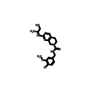 COc1cc(CNC(=O)N2CCc3cnc(N[C@@H](C)CO)nc3C2)ccc1Cl